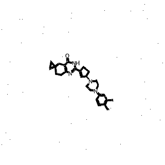 Cc1ccc(N2CCN([C@H]3C=C(c4nc5c(c(=O)[nH]4)CC4(CC5)CC4)CC3)CC2)cc1C